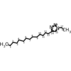 CCCCCCCCCCCCCCc1cn(CC)nn1